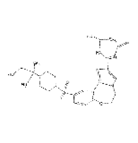 CC(C)N/C(=N\C=N)c1cn2c(n1)-c1cc(S(=O)(=O)C3CCN(C(C)(C)CO)CC3)ccc1OCC2